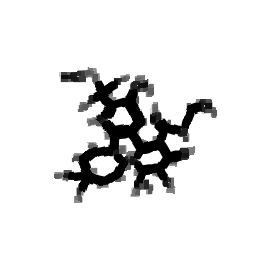 CCOC(=O)c1c(-c2cc(C)c(C(F)(F)F)nc2N2CCCC(F)(F)CC2)[nH]c(C)c(Cl)c1=O.Cl